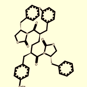 COc1ccc(C[C@@H](CC[C@H](Cc2cccc(Cl)c2)C(=O)N2C(=O)OC[C@@H]2Cc2ccccc2)C(=O)N2C(=O)OC[C@@H]2Cc2ccccc2)cc1